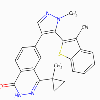 Cn1ncc(-c2ccc3c(=O)[nH]nc(C4(C)CC4)c3c2)c1-c1sc2ccccc2c1C#N